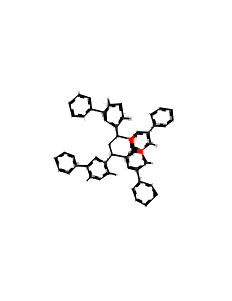 Cc1cc(O)c(-c2ccccc2)cc1C(CC(c1cc(-c2ccccc2)c(O)cc1C)c1cc(-c2ccccc2)c(O)cc1C)c1cc(-c2ccccc2)c(O)cc1C